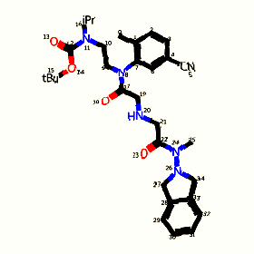 Cc1ccc(C#N)cc1N(CCN(C(=O)OC(C)(C)C)C(C)C)C(=O)CNCC(=O)N(C)N1Cc2ccccc2C1